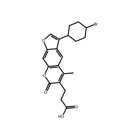 Cc1c(CCC(=O)O)c(=O)oc2cc3occ(C4CCC(Br)CC4)c3cc12